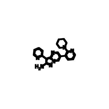 Nc1nn2cc(-c3cccnc3N3CCCCC3)cnc2c1-c1ccccn1